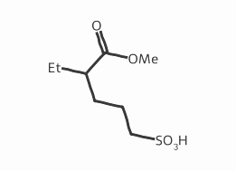 CCC(CCCS(=O)(=O)O)C(=O)OC